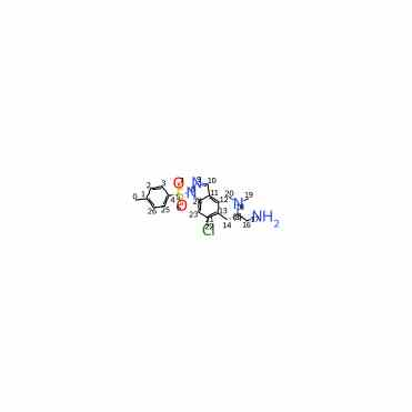 Cc1ccc(S(=O)(=O)n2ncc3cc(C[C@@H](CN)N(C)C)c(Cl)cc32)cc1